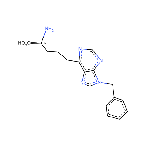 N[C@@H](CCCc1ncnc2c1ncn2Cc1ccccc1)C(=O)O